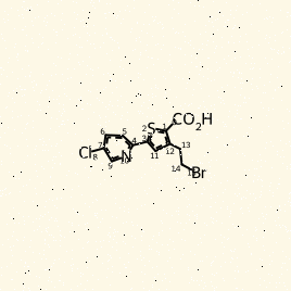 O=C(O)c1sc(-c2ccc(Cl)cn2)cc1CCBr